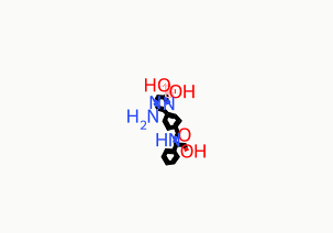 Nc1ncc(B(O)O)nc1-c1ccc(C(=O)NC(CO)c2ccccc2)cc1